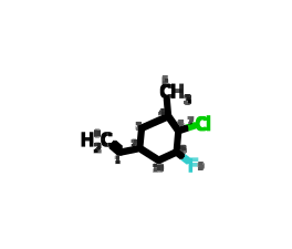 C=CC1CC(C)C(Cl)C(F)C1